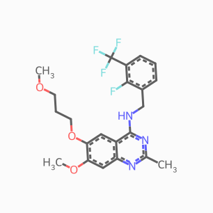 COCCCOc1cc2c(NCc3cccc(C(F)(F)F)c3F)nc(C)nc2cc1OC